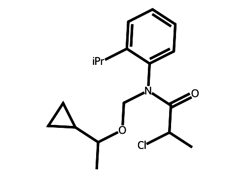 CC(Cl)C(=O)N(COC(C)C1CC1)c1ccccc1C(C)C